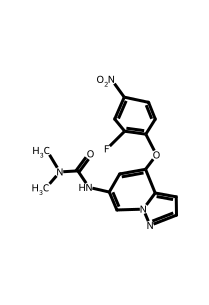 CN(C)C(=O)Nc1cc(Oc2ccc([N+](=O)[O-])cc2F)c2ccnn2c1